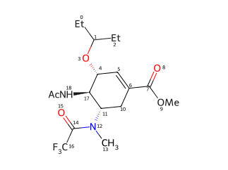 CCC(CC)O[C@@H]1C=C(C(=O)OC)C[C@H](N(C)C(=O)C(F)(F)F)[C@H]1NC(C)=O